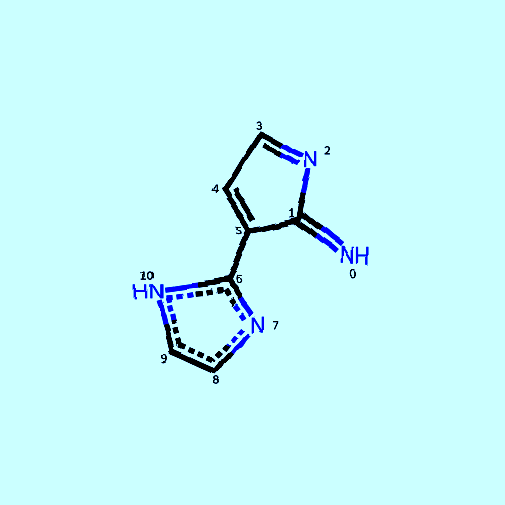 N=C1N=CC=C1c1ncc[nH]1